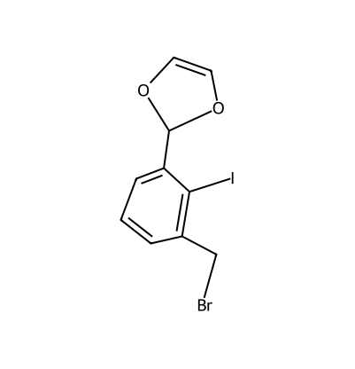 BrCc1cccc(C2OC=CO2)c1I